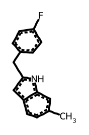 Cc1ccc2cc(Cc3ccc(F)cc3)[nH]c2c1